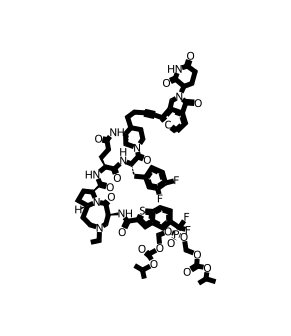 CCN1CC[C@H]2CC[C@@H](C(=O)N[C@@H](CCC(N)=O)C(=O)N[C@@H](Cc3ccc(F)c(F)c3)C(=O)N3CCC(CCC#Cc4cccc5c4CN(C4CCC(=O)NC4=O)C5=O)CC3)N2C(=O)[C@@H](NC(=O)c2cc3cc(C(F)(F)P(=O)(OCOC(=O)OC(C)C)OCOC(=O)OC(C)C)ccc3s2)C1